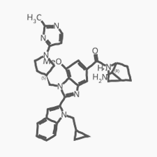 COc1cc(C(=O)N2CC3CCC2[C@@H]3N)cc2nc(-c3cc4ccccc4n3CC3CC3)n(C[C@H]3CCN(c4ccnc(C)n4)C3)c12